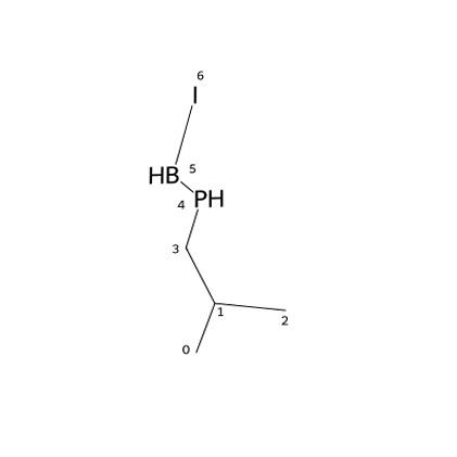 CC(C)CPBI